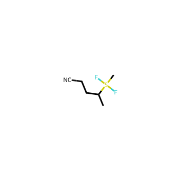 CC(CCC#N)S(C)(F)F